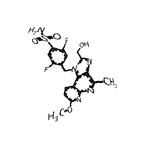 COc1ccc2c(n1)nc(C)c1nc(CO)n(Cc3cc(F)c(S(N)(=O)=O)cc3F)c12